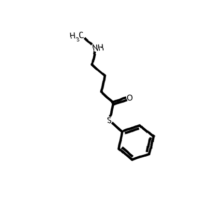 CNCCCC(=O)Sc1ccccc1